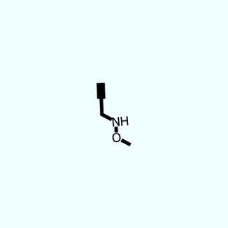 C#CCNOC